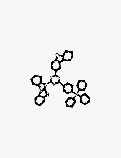 c1ccc([Si](c2ccccc2)(c2ccccc2)c2ccc(-c3nc(-c4ccc5oc6ccccc6c5c4)nc(-n4c5ccccc5n5c6ccccc6nc45)n3)cc2)cc1